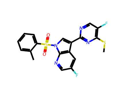 CSc1nc(-c2cn(S(=O)(=O)c3ccccc3C)c3ncc(F)cc23)ncc1F